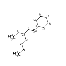 CCCCC(CC)CSC1CCCCC1